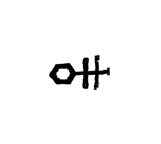 O=S(=O)(c1ccccc1)C(F)(F)I